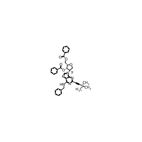 C[Si](C)(C)C#Cc1nc(NCc2ccccc2)c2ncn([C@]3(F)CO[C@H](COC(=O)c4ccccc4)[C@H]3OC(=O)c3ccccc3)c2n1